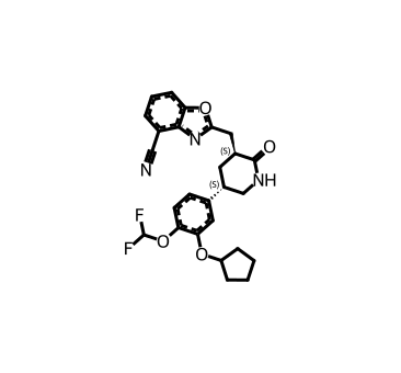 N#Cc1cccc2oc(C[C@@H]3C[C@@H](c4ccc(OC(F)F)c(OC5CCCC5)c4)CNC3=O)nc12